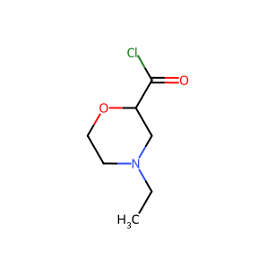 CCN1CCOC(C(=O)Cl)C1